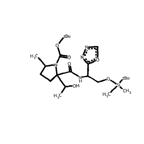 CC1CCC(C(=O)NC(CO[Si](C)(C)C(C)(C)C)c2nnco2)(C(C)O)N1C(=O)OC(C)(C)C